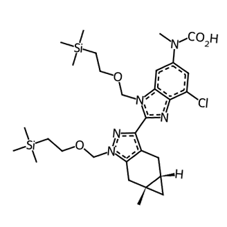 CN(C(=O)O)c1cc(Cl)c2nc(-c3nn(COCC[Si](C)(C)C)c4c3C[C@@H]3C[C@]3(C)C4)n(COCC[Si](C)(C)C)c2c1